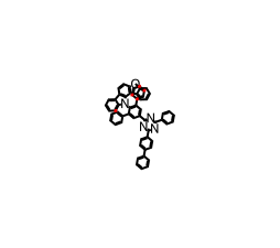 c1ccc(-c2ccc(-c3nc(-c4ccccc4)nc(-c4cc(-c5ccccc5)c(-n5c6ccccc6c6ccc7oc8ccccc8c7c65)c(-c5ccccc5)c4)n3)cc2)cc1